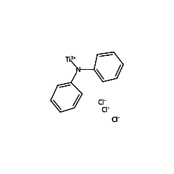 [Cl-].[Cl-].[Cl-].[Ti+3][N](c1ccccc1)c1ccccc1